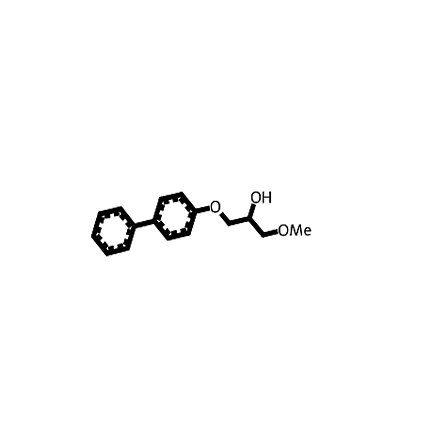 COCC(O)COc1ccc(-c2ccccc2)cc1